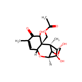 CC(=O)OC[C@]12[C@H](O)C(=O)C(C)=C[C@H]1O[C@@H]1[C@H](O)[C@@H](O)[C@@]2(C)[C@]12CO2